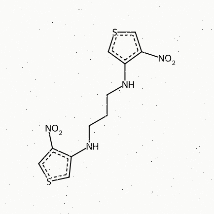 O=[N+]([O-])c1cscc1NCCCNc1cscc1[N+](=O)[O-]